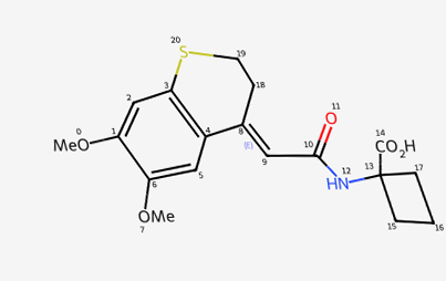 COc1cc2c(cc1OC)/C(=C/C(=O)NC1(C(=O)O)CCC1)CCS2